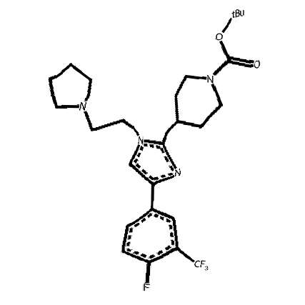 CC(C)(C)OC(=O)N1CCC(c2nc(-c3ccc(F)c(C(F)(F)F)c3)cn2CCN2CCCC2)CC1